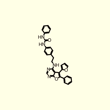 O=C(Nc1ccccc1)Nc1ccc(CCNc2ncnc3oc(-c4ccccc4)c(-c4ccco4)c23)cc1